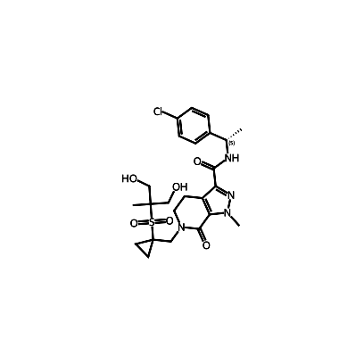 C[C@H](NC(=O)c1nn(C)c2c1CCN(CC1(S(=O)(=O)C(C)(CO)CO)CC1)C2=O)c1ccc(Cl)cc1